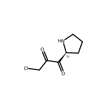 O=C(CCl)C(=O)[C@@H]1CCCN1